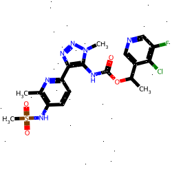 Cc1nc(-c2nnn(C)c2NC(=O)OC(C)c2cncc(F)c2Cl)ccc1NS(C)(=O)=O